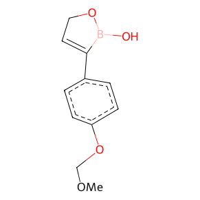 COCOc1ccc(C2=CCOB2O)cc1